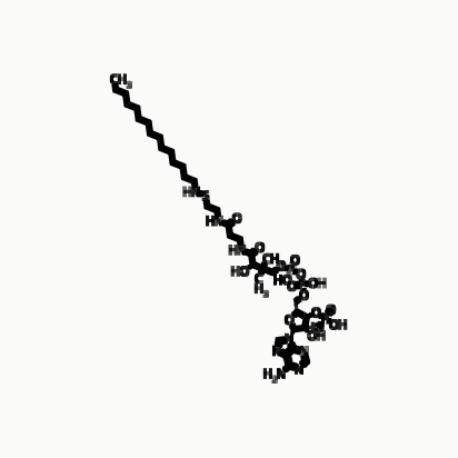 CCCCCCCCCCCCCCCNSCCNC(=O)CCNC(=O)[C@H](O)C(C)(C)COP(=O)(O)OP(=O)(O)OC[C@H]1O[C@@H](n2cnc3c(N)ncnc32)[C@H](O)[C@@H]1OP(=O)(O)O